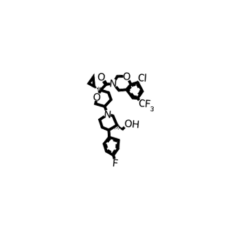 O=C(N1COc2c(Cl)cc(C(F)(F)F)cc2C1)[C@@]1(C2CC2)CCC(N2CCC(c3ccc(F)cc3)[C@H](CO)C2)CO1